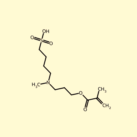 C=C(C)C(=O)OCCCN(C)CCCCS(=O)(=O)O